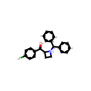 O=C(c1ccc(F)cc1)C1CCN1C(c1ccccc1)c1ccccc1